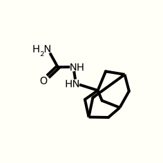 NC(=O)NNC12CC3CC(CC(C3)C1)C2